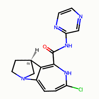 O=C(Nc1cnccn1)C1=C2C(=CC=C(Cl)N1)N1CC[C@@H]2C1